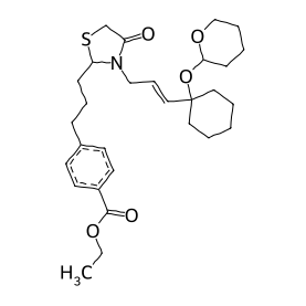 CCOC(=O)c1ccc(CCCC2SCC(=O)N2C/C=C/C2(OC3CCCCO3)CCCCC2)cc1